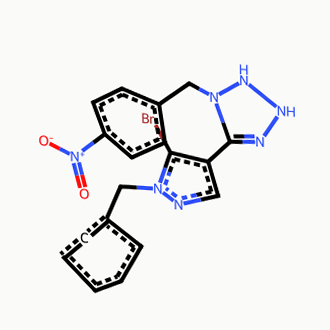 O=[N+]([O-])c1ccc(CN2NNN=C2c2cnn(Cc3ccccc3)c2Br)cc1